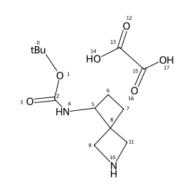 CC(C)(C)OC(=O)NC1CCC12CNC2.O=C(O)C(=O)O